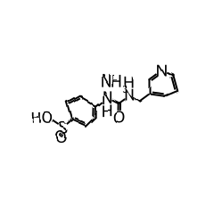 N.O=C(NCc1cccnc1)Nc1ccc(S(=O)O)cc1